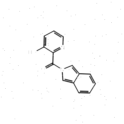 O=C(c1ncccc1O)n1cc2ccccc2c1